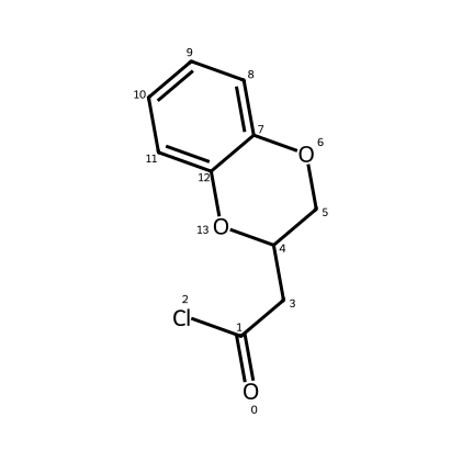 O=C(Cl)CC1COc2ccccc2O1